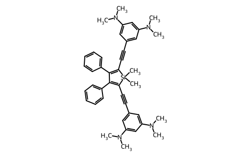 CN(C)c1cc(C#CC2=C(c3ccccc3)C(c3ccccc3)=C(C#Cc3cc(N(C)C)cc(N(C)C)c3)[Si]2(C)C)cc(N(C)C)c1